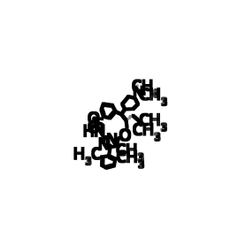 Cc1cccc(C)c1-c1nc2nc(c1C)OC[C@@H](CC(C)C)C(C1CCC(N(C)C)CC1)c1cccc(c1)S(=O)(=O)N2